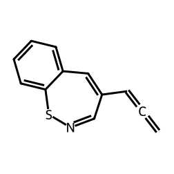 C=C=CC1=Cc2ccccc2SN=C1